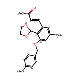 COC(=O)/C=C/c1cc(OC)cc(OCc2ccc(OC)cc2)c1C1OCCO1